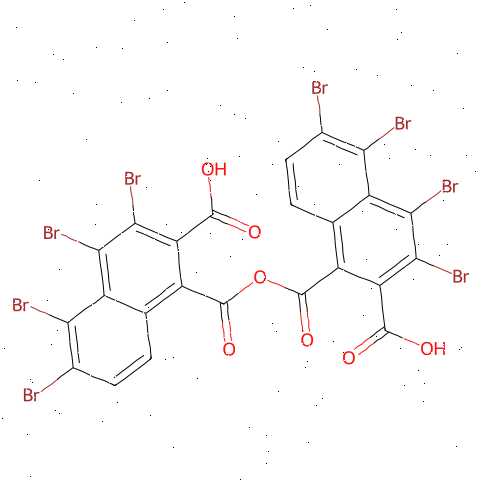 O=C(O)c1c(Br)c(Br)c2c(Br)c(Br)ccc2c1C(=O)OC(=O)c1c(C(=O)O)c(Br)c(Br)c2c(Br)c(Br)ccc12